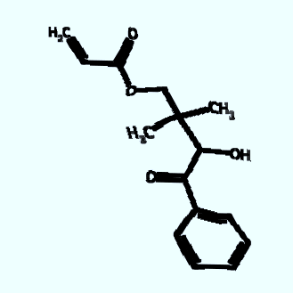 C=CC(=O)OCC(C)(C)C(O)C(=O)c1ccccc1